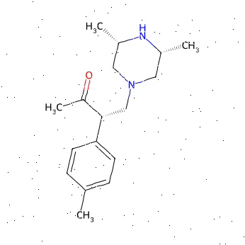 CC(=O)[C@H](CN1C[C@@H](C)N[C@@H](C)C1)c1ccc(C)cc1